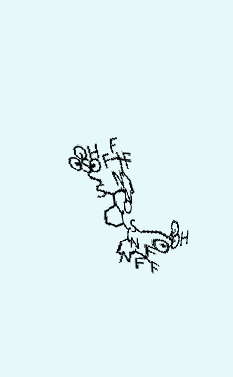 O=C1C(C(SCCS(=O)(=O)O)c2ccnc(C(F)(F)F)n2)CCCC1C(SCCS(=O)(=O)O)c1nccc(C(F)(F)F)n1